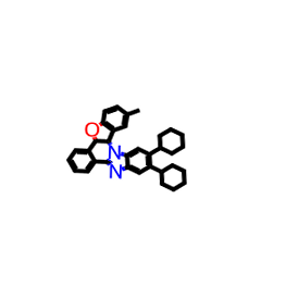 Cc1ccc2c(c1)C1C(O2)c2ccccc2-c2nc3cc(C4CCCCC4)c(C4CCCCC4)cc3n21